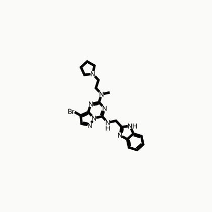 CN(CCN1CCCC1)c1nc(NCc2nc3ccccc3[nH]2)n2ncc(Br)c2n1